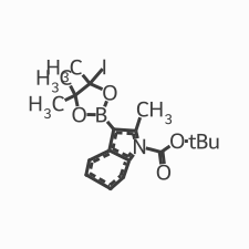 Cc1c(B2OC(C)(C)C(C)(I)O2)c2ccccc2n1C(=O)OC(C)(C)C